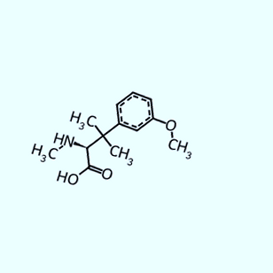 CN[C@H](C(=O)O)C(C)(C)c1cccc(OC)c1